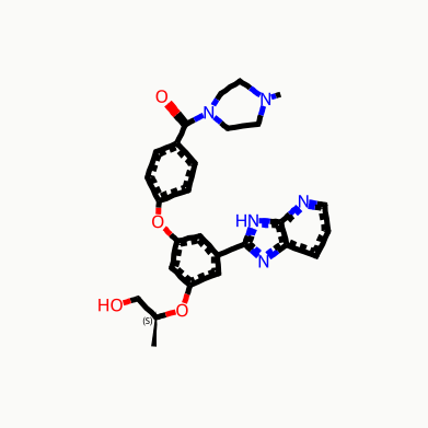 C[C@@H](CO)Oc1cc(Oc2ccc(C(=O)N3CCN(C)CC3)cc2)cc(-c2nc3cccnc3[nH]2)c1